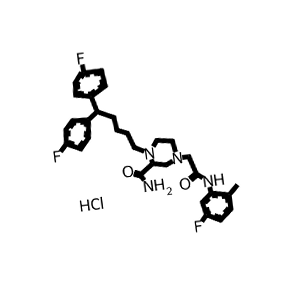 Cc1ccc(F)cc1NC(=O)CN1CCN(CCCCC(c2ccc(F)cc2)c2ccc(F)cc2)C(C(N)=O)C1.Cl